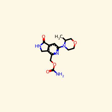 CC1COCCN1c1cc2c(c(COC(N)=O)n1)CNC2=O